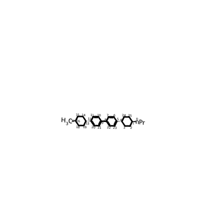 CCC[C@H]1CC[C@H](c2ccc(-c3ccc([C@H]4CC[C@H](C)CC4)cc3)cc2)CC1